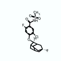 CS(=O)(=O)NC(=O)c1cc(Cl)c(O[C@H]2C3CC4CC2C[C@](F)(C4)C3)cc1F